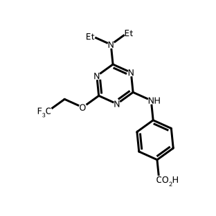 CCN(CC)c1nc(Nc2ccc(C(=O)O)cc2)nc(OCC(F)(F)F)n1